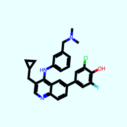 CN(C)Cc1cccc(Nc2c(CC3CC3)cnc3ccc(-c4cc(F)c(O)c(Cl)c4)cc23)c1